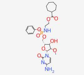 COC1C(O)[C@@H](COP(=O)(NCCOC(=O)C2CCCCCC2)Oc2ccccc2)O[C@H]1n1ccc(N)nc1=O